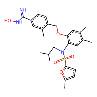 Cc1ccc(S(=O)(=O)N(CC(C)C)c2cc(C)c(C)cc2OCc2ccc(C(=N)NO)cc2C)o1